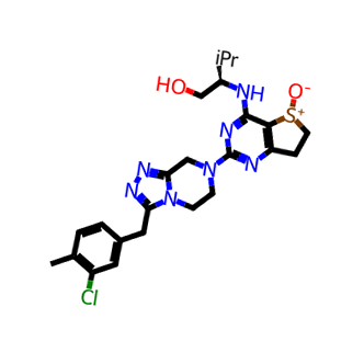 Cc1ccc(Cc2nnc3n2CCN(c2nc4c(c(N[C@@H](CO)C(C)C)n2)[S+]([O-])CC4)C3)cc1Cl